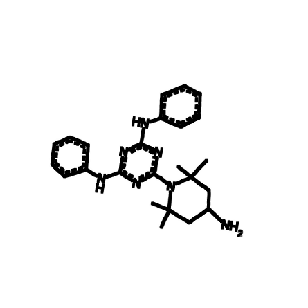 CC1(C)CC(N)CC(C)(C)N1c1nc(Nc2ccccc2)nc(Nc2ccccc2)n1